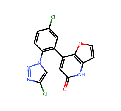 O=c1cc(-c2cc(Cl)ccc2-n2cc(Cl)nn2)c2occc2[nH]1